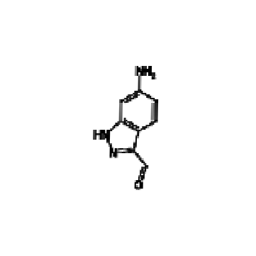 Nc1ccc2c(C=O)n[nH]c2c1